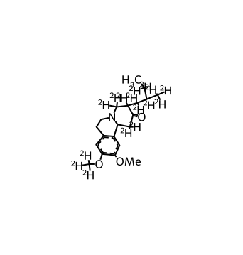 [2H]C([2H])([2H])Oc1cc2c(cc1OC)C1N(CC2)C([2H])([2H])C([2H])(C([2H])([2H])C([2H])(C([2H])([2H])[2H])C([2H])([2H])C)C(=O)C1([2H])[2H]